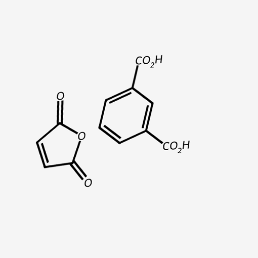 O=C(O)c1cccc(C(=O)O)c1.O=C1C=CC(=O)O1